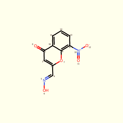 O=c1cc(C=NO)oc2c([N+](=O)[O-])cccc12